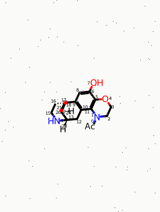 CC(=O)N1CCOc2c(O)cc3c(c21)C[C@@H]1NCC[C@]32CCCC[C@H]12